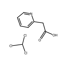 ClC(Cl)Cl.O=C(O)Cc1ccccn1